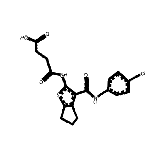 O=C(O)CCC(=O)Nc1sc2c(c1C(=O)Nc1ccc(Cl)cc1)CCC2